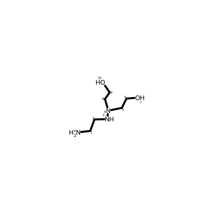 NCCNN(CCO)CCO